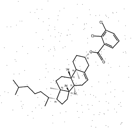 CC(C)CCCC(C)[C@H]1CC[C@H]2[C@@H]3CC=C4C[C@@H](OC(=O)c5cccc(Cl)c5Cl)CC[C@]4(C)[C@H]3CC[C@]12C